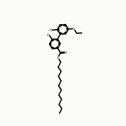 CCCCCCCCCCCCOC(=O)c1ccc(Cl)c(-c2cc(OCC)c[c]c2Cl)c1